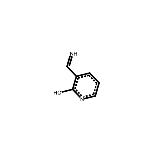 N=Cc1cccnc1O